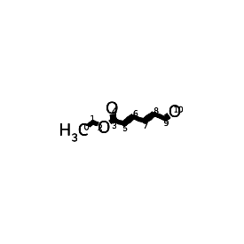 CCOC(=O)C=CC=CC=O